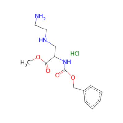 COC(=O)C(CNCCN)NC(=O)OCc1ccccc1.Cl